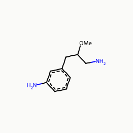 COC(CN)Cc1cccc(N)c1